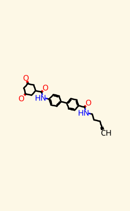 C#CCCCNC(=O)c1ccc(-c2ccc(NC(=O)C3CC(=O)CC(=O)C3)cc2)cc1